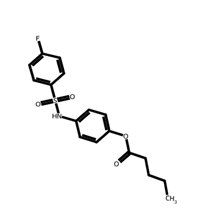 CCCCC(=O)Oc1ccc(NS(=O)(=O)c2ccc(F)cc2)cc1